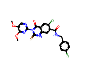 COc1cnc(-n2c(=S)[nH]c3cc(C(=O)NCc4ccc(Cl)cc4)c(Cl)cc3c2=O)nc1OC